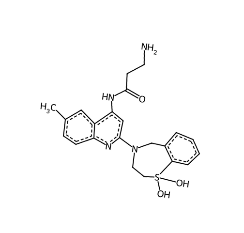 Cc1ccc2nc(N3CCS(O)(O)c4ccccc4C3)cc(NC(=O)CCN)c2c1